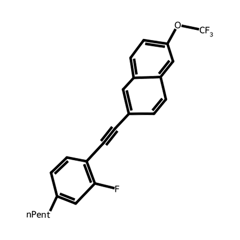 CCCCCc1ccc(C#Cc2ccc3cc(OC(F)(F)F)ccc3c2)c(F)c1